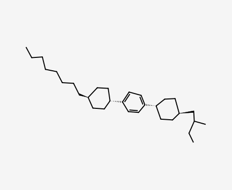 CCCCCCCC[C@H]1CC[C@H](c2ccc([C@H]3CC[C@H](CC(C)CC)CC3)cc2)CC1